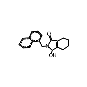 O=C1C2=C(CCCC2)C(O)N1Cc1cccc2ccccc12